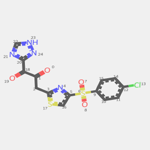 O=C(Cc1nc(S(=O)(=O)c2ccc(Cl)cc2)cs1)C(=O)c1nc[nH]n1